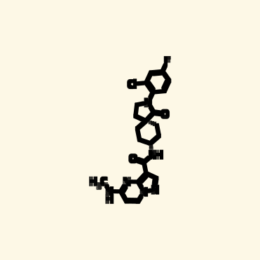 CNc1ccn2ncc(C(=O)N[C@H]3CC[C@@]4(CCN(c5ccc(F)cc5Cl)C4=O)CC3)c2n1